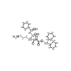 NCCCC[C@H](C(=O)NC(=O)OCC1c2ccccc2-c2ccccc21)C(O)CC(O)c1ccccc1